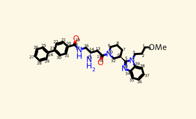 COCCCn1c([C@@H]2CCCN(C(=O)C[C@H](N)CNC(=O)c3ccc(-c4ccccc4)cc3)C2)nc2ccccc21